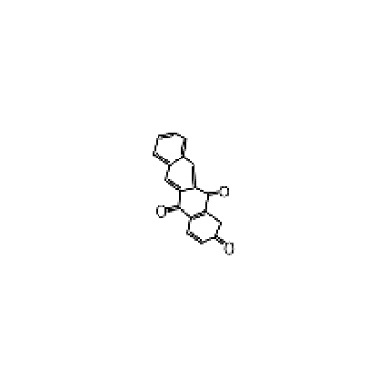 O=C1C=CC2=C(C1)C(=O)c1cc3ccccc3cc1C2=O